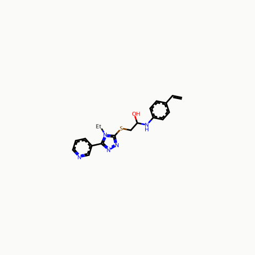 C=Cc1ccc(NC(O)CSc2nnc(-c3cccnc3)n2CC)cc1